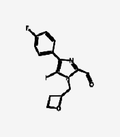 O=Cc1nc(-c2ccc(F)cc2)c(I)n1CC1CCO1